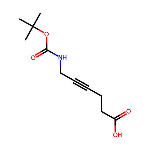 CC(C)(C)OC(=O)NCC#CCCC(=O)O